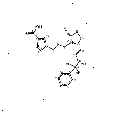 O=C(O)c1csc(CCCN2C(=O)CC[C@@H]2/C=C/C(O)C(F)(F)c2ccccc2)n1